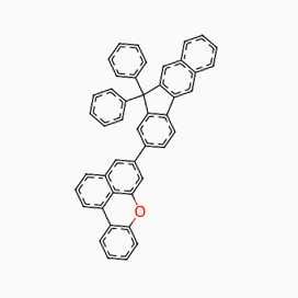 c1ccc(C2(c3ccccc3)c3cc(-c4cc5c6c(cccc6c4)-c4ccccc4O5)ccc3-c3cc4ccccc4cc32)cc1